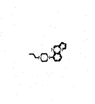 CCCN1CCN(c2cccc3c2ncc2cccn23)CC1